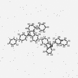 c1ccc(-c2ccc(-n3c4ccc(-c5ccc6c(c5)c5ccccc5n6-c5ccc6ccccc6c5)cc4c4c(-c5ccccc5)cccc43)cc2)cc1